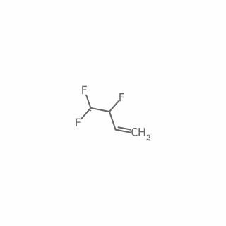 C=CC(F)[C](F)F